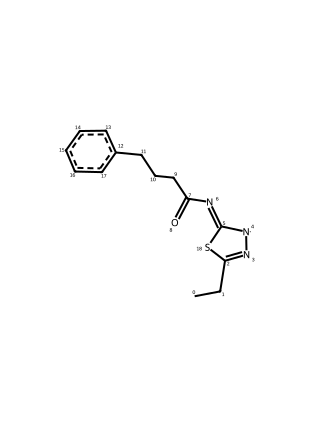 CCC1=N[N]C(=NC(=O)CCCc2ccccc2)S1